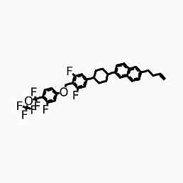 C=CCCc1ccc2cc(C3CCC(c4cc(F)c(COc5ccc(C(F)(F)OC(F)(F)F)c(F)c5)c(F)c4)CC3)ccc2c1